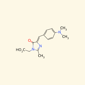 CC1=N/C(=C\c2ccc(N(C)C)cc2)C(=O)N1CC(=O)O